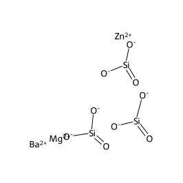 O=[Si]([O-])[O-].O=[Si]([O-])[O-].O=[Si]([O-])[O-].[Ba+2].[Mg+2].[Zn+2]